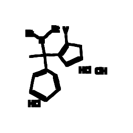 CCN(CC)C(C)(C1=[C]([V])CC=C1)c1ccccc1.Cl.Cl.Cl